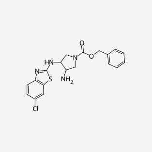 NC1CN(C(=O)OCc2ccccc2)CC1Nc1nc2ccc(Cl)cc2s1